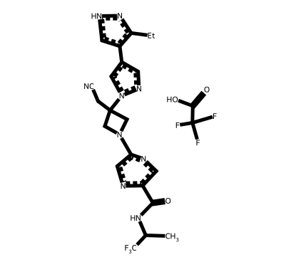 CCc1n[nH]cc1-c1cnn(C2(CC#N)CN(c3cnc(C(=O)NC(C)C(F)(F)F)cn3)C2)c1.O=C(O)C(F)(F)F